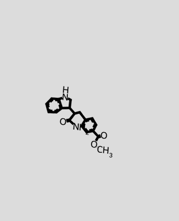 COC(=O)c1ccc(CC(C(N)=O)C2CNc3ccccc32)cc1